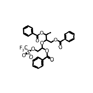 CC(OC(=O)c1ccccc1)C(COC(=O)c1ccccc1)OC(COS(=O)(=O)C(F)(F)F)OC(=O)c1ccccc1